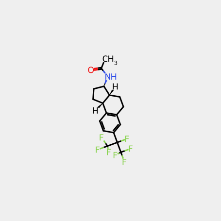 CC(=O)N[C@@H]1CC[C@H]2c3ccc(C(F)(C(F)(F)F)C(F)(F)F)cc3CC[C@@H]12